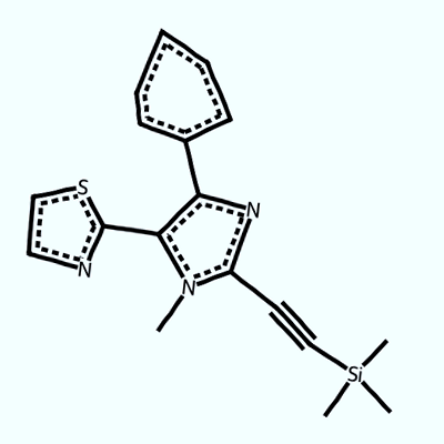 Cn1c(C#C[Si](C)(C)C)nc(-c2ccccc2)c1-c1nccs1